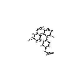 CSCc1ccc(-c2c(C)nnc(Cl)c2-c2c(F)cc(F)cc2F)cc1